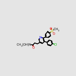 CN(O)C(=O)CCc1cnc(-c2ccc(S(C)(=O)=O)cc2)c(-c2ccc(Cl)cc2)c1